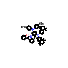 CC(C)(C)c1ccc(N(c2ccc(C(C)(C)C)cc2)c2cc3c4c(c2)-n2c5oc6ccccc6c5c5cccc(c52)B4c2cc4c(cc2N3c2ccc3c(c2)C(C)(C)CCC3(C)C)C(C)(C)CCC4(C)C)cc1